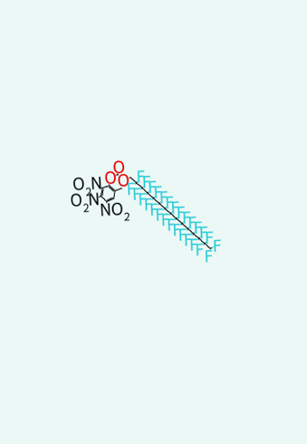 Cc1cc([N+](=O)[O-])c([N+](=O)[O-])c([N+](=O)[O-])c1OC(=O)OCC(F)(F)C(F)(F)C(F)(F)C(F)(F)C(F)(F)C(F)(F)C(F)(F)C(F)(F)C(F)(F)C(F)(F)C(F)(F)C(F)(F)C(F)(F)C(F)F